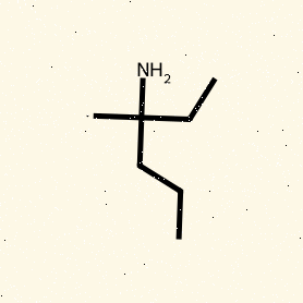 [CH2]C(N)(CC)CCC